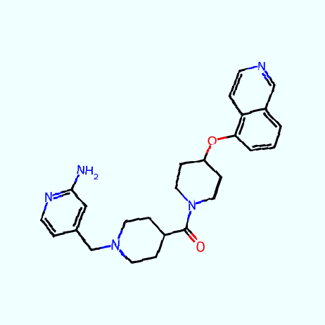 Nc1cc(CN2CCC(C(=O)N3CCC(Oc4cccc5cnccc45)CC3)CC2)ccn1